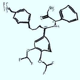 NC(=O)[C@H](N[C@H](CCc1ccc(C(F)(F)F)cc1)c1ccc(OC(F)F)c(OC(F)F)c1)c1ccccc1